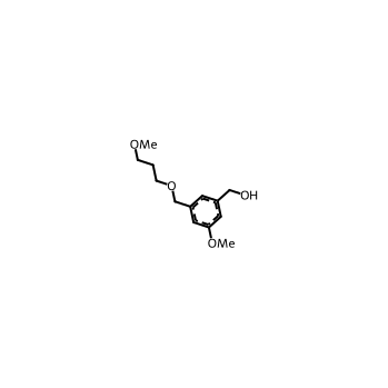 COCCCOCc1cc(CO)cc(OC)c1